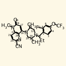 CCC(c1ccc(OC(F)(F)F)cc1F)N1C[C@H](C)N(c2cc(=O)n(C)c3ccc(C#N)nc23)C[C@H]1C